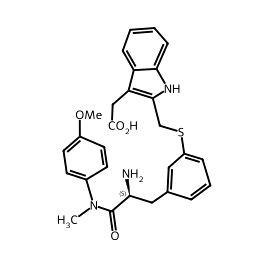 COc1ccc(N(C)C(=O)[C@@H](N)Cc2cccc(SCc3[nH]c4ccccc4c3CC(=O)O)c2)cc1